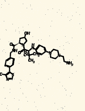 Cc1ncsc1-c1ccc(CNC(=O)[C@@H]2C[C@@H](O)CN2C(=O)[C@@H](Nc2ccc(N3CCN(CCN)CC3)cc2)C(C)(C)C)cc1